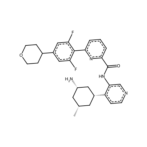 C[C@@H]1C[C@H](N)C[C@H](c2ccncc2NC(=O)c2cccc(-c3c(F)cc(C4CCOCC4)cc3F)n2)C1